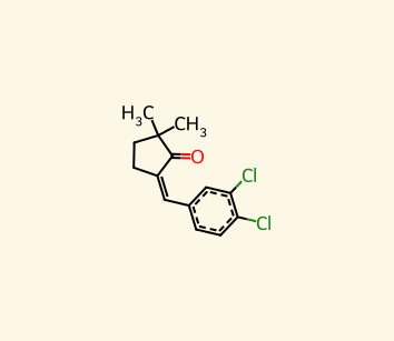 CC1(C)CCC(=Cc2ccc(Cl)c(Cl)c2)C1=O